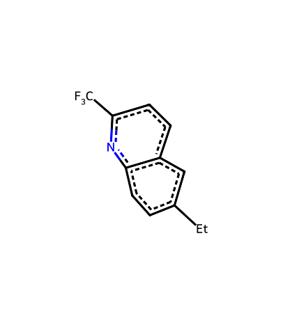 CCc1ccc2nc(C(F)(F)F)ccc2c1